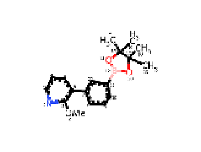 COc1ncccc1-c1cccc(B2OC(C)(C)C(C)(C)O2)c1